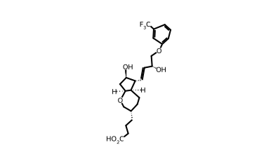 O=C(O)CCC[C@H]1CC[C@@H]2[C@@H](C=C[C@@H](O)COc3cccc(C(F)(F)F)c3)[C@H](O)C[C@@H]2OC1